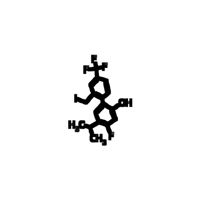 CC(C)c1cc(-c2ccc(C(F)(F)F)cc2CI)c(O)cc1F